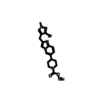 Cn1cc(Cc2cn3cc(C4CCN(C(=O)OC(C)(C)C)CC4)ccc3n2)c(Br)n1